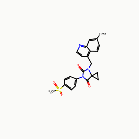 COc1ccc2c(CN3C(=O)N(c4ccc(S(=O)(=O)C(F)(F)F)cc4)C(=O)C34CC4)ccnc2c1